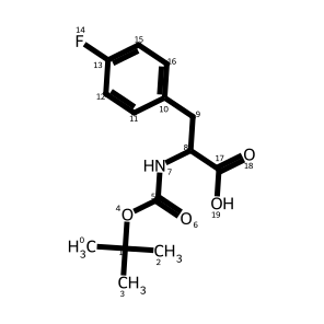 CC(C)(C)OC(=O)NC(Cc1ccc(F)cc1)C(=O)O